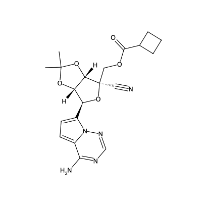 CC1(C)O[C@H]2[C@H](c3ccc4c(N)ncnn34)O[C@](C#N)(COC(=O)C3CCC3)[C@H]2O1